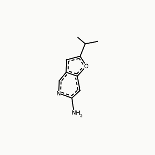 CC(C)c1cc2cnc(N)cc2o1